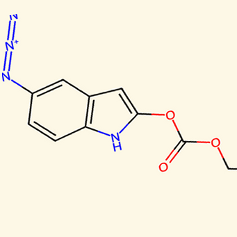 CCOC(=O)Oc1cc2cc(N=[N+]=[N-])ccc2[nH]1